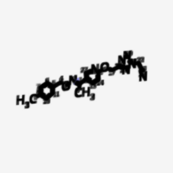 C/C(=N\OCc1ccc(C)cc1)c1ccc(OCc2nnn(CC#N)n2)nc1